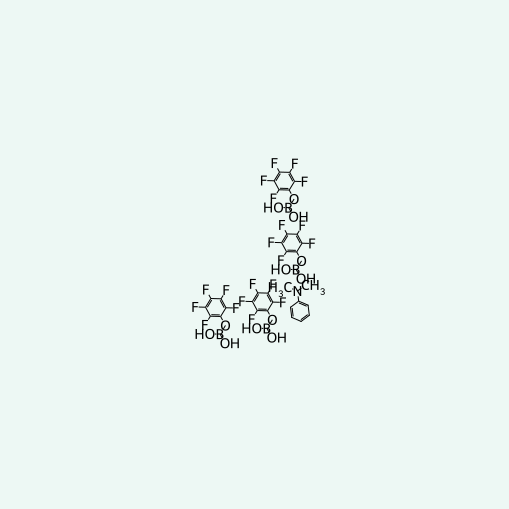 CN(C)c1ccccc1.OB(O)Oc1c(F)c(F)c(F)c(F)c1F.OB(O)Oc1c(F)c(F)c(F)c(F)c1F.OB(O)Oc1c(F)c(F)c(F)c(F)c1F.OB(O)Oc1c(F)c(F)c(F)c(F)c1F